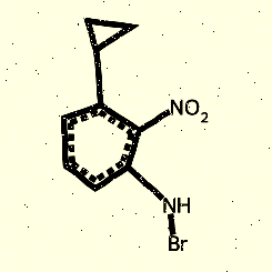 O=[N+]([O-])c1c(NBr)cccc1C1CC1